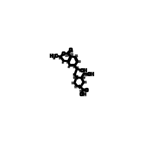 CC1Cc2cc(C(O)CN3CCN(C(=O)O)CC3CO)ccc2C(=O)O1